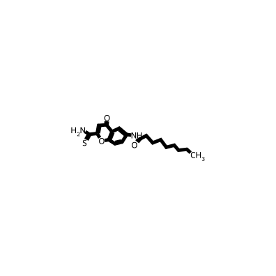 CCCCCCCCC(=O)Nc1ccc2oc(C(N)=S)cc(=O)c2c1